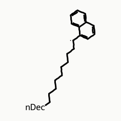 CCCCCCCCCCCCCCCCCCC[CH]c1cccc2ccccc12